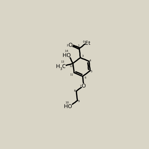 CCC(=O)C1C=CC(OCCO)=CC1(C)O